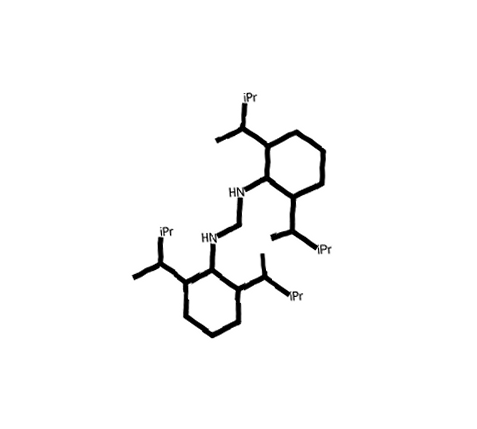 CC(C)C(C)C1CCCC(C(C)C(C)C)C1NCNC1C(C(C)C(C)C)CCCC1C(C)C(C)C